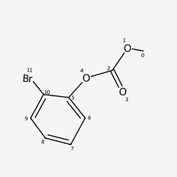 COC(=O)Oc1ccccc1Br